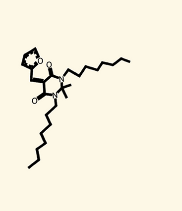 CCCCCCCCN1C(=O)C(=Cc2ccco2)C(=O)N(CCCCCCCC)C1(C)C